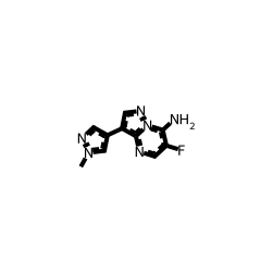 Cn1cc(-c2cnn3c(N)c(F)cnc23)cn1